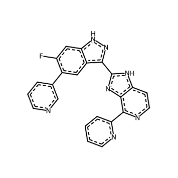 Fc1cc2[nH]nc(-c3nc4c(-c5ccccn5)nccc4[nH]3)c2cc1-c1cccnc1